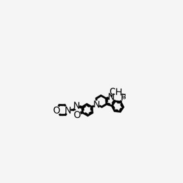 Cn1c2c(c3cccc(F)c31)CN(c1ccc3oc(N4CCOCC4)nc3c1)CC2